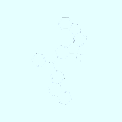 C[Si]1(C)c2cc(N(c3ccccc3)c3ccc4c(ccc5ccccc54)c3)ccc2-c2c1ccc1sc3ccccc3c21